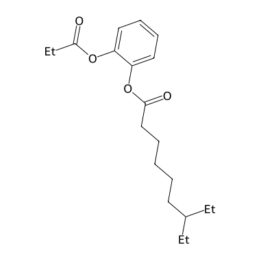 CCC(=O)Oc1ccccc1OC(=O)CCCCCC(CC)CC